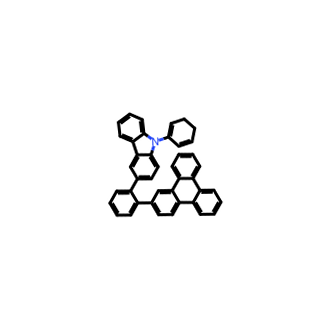 C1=CC(n2c3ccccc3c3cc(-c4ccccc4-c4ccc5c6ccccc6c6ccccc6c5c4)ccc32)=CCC1